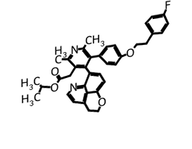 Cc1nc(C)c(-c2ccc(OCCc3ccc(F)cc3)cc2)c(-c2ccc3c4c(ccnc24)CCO3)c1CC(=O)OC(C)C